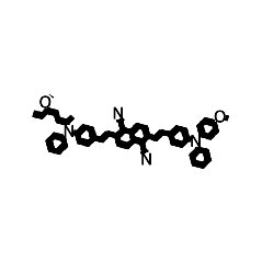 C=C/C(=C\C=C(/C)N(c1ccccc1)c1ccc(/C=C/c2ccc3c(C#N)c(/C=C/c4ccc(N(c5ccccc5)c5ccc(OC)cc5)cc4)ccc3c2C#N)cc1)OC